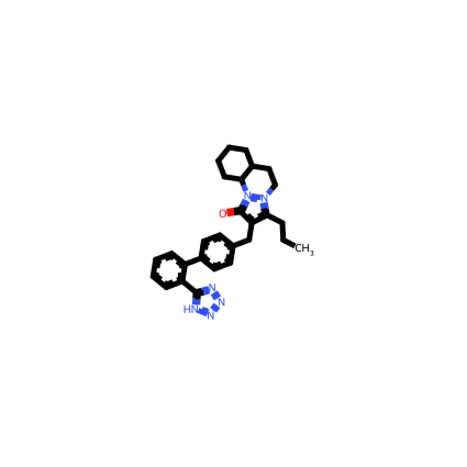 CCCc1c(Cc2ccc(-c3ccccc3-c3nnn[nH]3)cc2)c(=O)n2n1CCC1CCCCC12